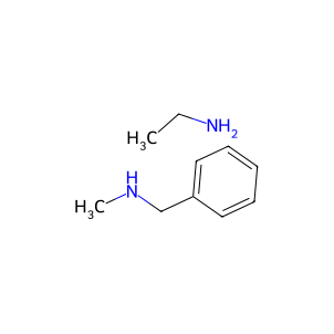 CCN.CNCc1ccccc1